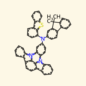 CC1(C)c2ccccc2-c2ccc(N(c3ccc4c(c3)n3c5ccccc5c5ccc6c7ccccc7n4c6c53)c3cccc4c3sc3ccccc34)cc21